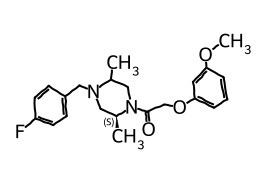 COc1cccc(OCC(=O)N2CC(C)N(Cc3ccc(F)cc3)C[C@@H]2C)c1